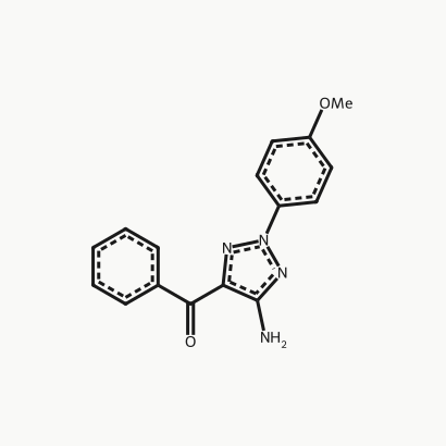 COc1ccc(-n2nc(N)c(C(=O)c3ccccc3)n2)cc1